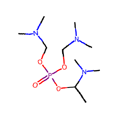 CC(OP(=O)(OCN(C)C)OCN(C)C)N(C)C